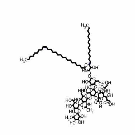 CCCCCCCC/C=C\CCCCCCCCCCCCCCCC(=O)N[C@@H](CO[C@@H]1OC(CO)[C@@H](O[C@@H]2OC(CO)[C@H](O[C@@H]3OC(CO)[C@H](O)[C@H](O[C@@H]4OC(CO)[C@H](O)[C@H](O)C4O[C@H]4OC(C)[C@@H](O)C(O)[C@@H]4O)C3NC(C)=O)[C@H](O[C@]3(C(=O)O)CC(O)[C@@H](NC(=O)CO)C([C@H](O)[C@H](O)CO)O3)C2O)[C@H](O)C1O)[C@H](O)/C=C/CCCCCCCCCCCCC